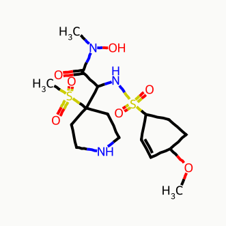 COC1C=CC(S(=O)(=O)NC(C(=O)N(C)O)C2(S(C)(=O)=O)CCNCC2)CC1